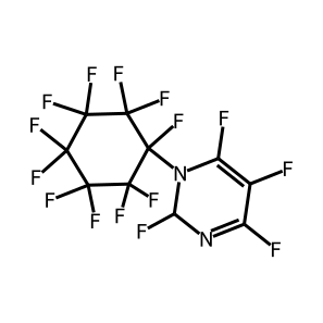 FC1=NC(F)N(C2(F)C(F)(F)C(F)(F)C(F)(F)C(F)(F)C2(F)F)C(F)=C1F